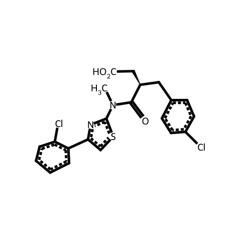 CN(C(=O)[C@@H](CC(=O)O)Cc1ccc(Cl)cc1)c1nc(-c2ccccc2Cl)cs1